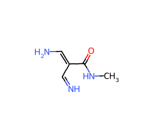 CNC(=O)/C(C=N)=C/N